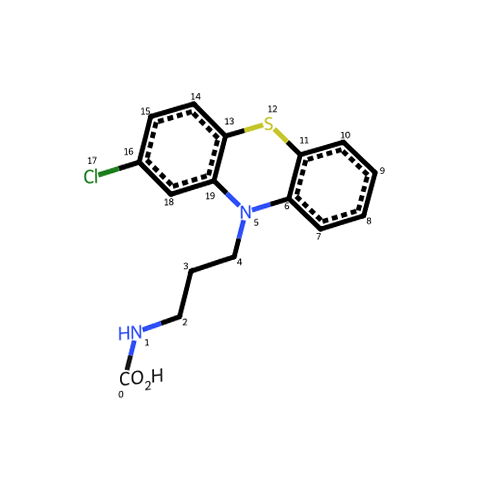 O=C(O)NCCCN1c2ccccc2Sc2ccc(Cl)cc21